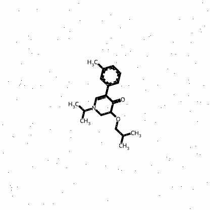 Cc1cccc(C2=CN(C(C)C)CC(OCC(C)C)C2=O)c1